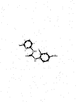 CCCCc1ccc(NC(=N)Nc2cccc(C)n2)c(C)c1